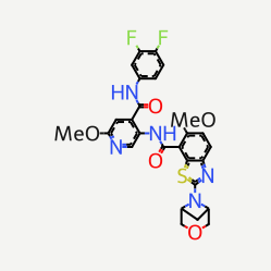 COc1cc(C(=O)Nc2ccc(F)c(F)c2)c(NC(=O)c2c(OC)ccc3nc(N4C5COCC4C5)sc23)cn1